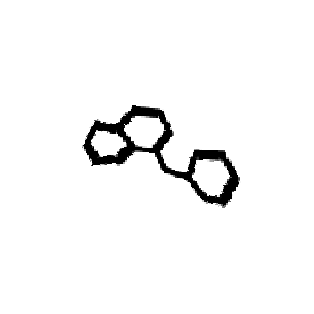 C1=CCC(Cc2cccc3ccccc23)C=C1